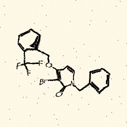 O=c1c(Br)c(OCc2ccccc2C(F)(F)F)ccn1Cc1ccccc1